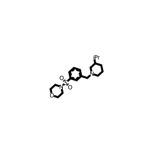 CC(C)C1CCCN(Cc2cccc(S(=O)(=O)N3CCOCC3)c2)C1